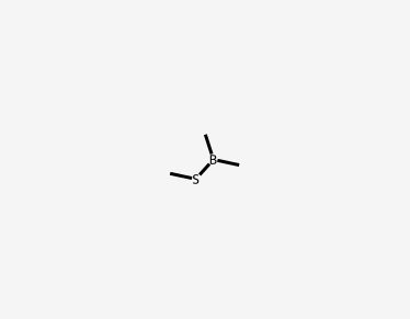 CSB(C)C